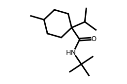 CC1CCC(C(=O)NC(C)(C)C)(C(C)C)CC1